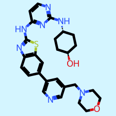 O[C@H]1CC[C@H](Nc2nccc(Nc3nc4ccc(-c5cncc(CN6CCOCC6)c5)cc4s3)n2)CC1